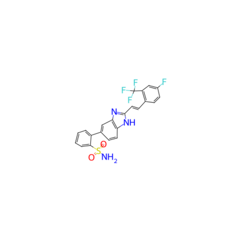 NS(=O)(=O)c1ccccc1-c1ccc2[nH]c(C=Cc3ccc(F)cc3C(F)(F)F)nc2c1